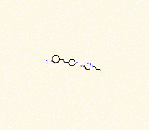 CNC1=CC=C(/C=C/C2CCC(NCC3=CCN(CCCF)N=N3)CC2)CCC1